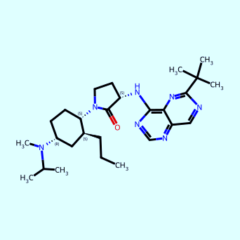 CCC[C@H]1C[C@H](N(C)C(C)C)CC[C@@H]1N1CC[C@H](Nc2ncnc3cnc(C(C)(C)C)nc23)C1=O